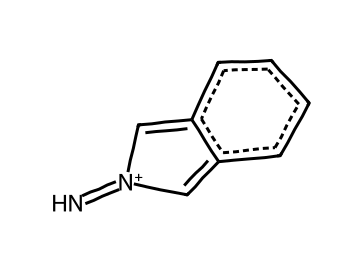 N=[N+]1C=c2ccccc2=C1